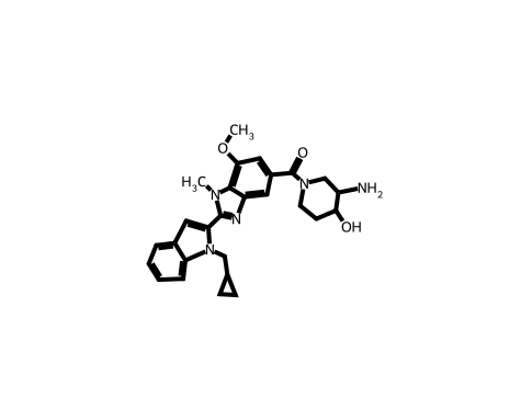 COc1cc(C(=O)N2CCC(O)C(N)C2)cc2nc(-c3cc4ccccc4n3CC3CC3)n(C)c12